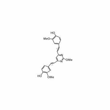 COc1nc(/C=C/c2ccc(O)c(OC)c2)cc(/C=C/c2ccc(O)c(OC)c2)n1